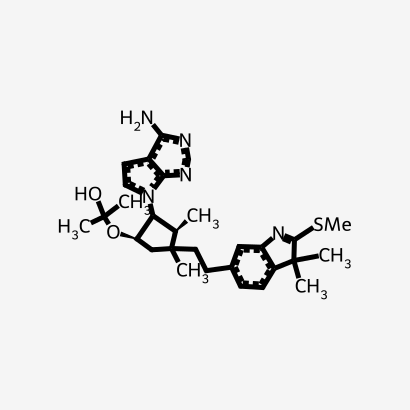 CSC1=Nc2cc(CCC3(C)C[C@@H](OC(C)(C)O)C(n4ccc5c(N)ncnc54)[C@H]3C)ccc2C1(C)C